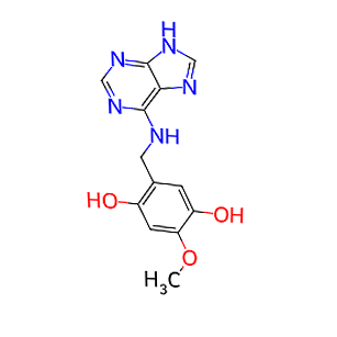 COc1cc(O)c(CNc2ncnc3[nH]cnc23)cc1O